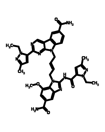 CCn1nc(C)cc1C(=O)Nc1nc2cc(C(N)=O)cc(OC)c2n1CC=CCn1c2ccc(C(N)=O)cc2c2cnc(-c3cc(C)nn3CC)nc21